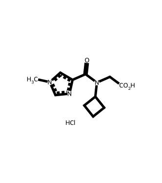 Cl.Cn1cnc(C(=O)N(CC(=O)O)C2CCC2)c1